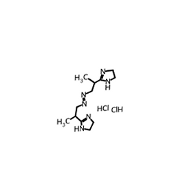 CC(C/N=N/CC(C)C1=NCCN1)C1=NCCN1.Cl.Cl